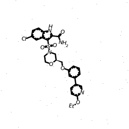 CCOc1ccc(-c2cccc(OC[C@@H]3CN(S(=O)(=O)c4c(C(N)=O)[nH]c5ccc(Cl)cc45)CCO3)c2)cn1